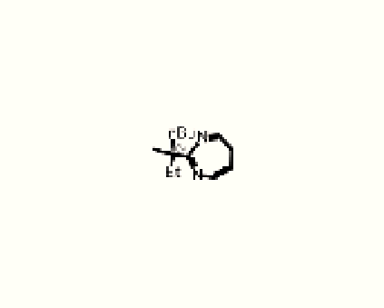 CCCC[C@](C)(CC)C1=NC=CCC=N1